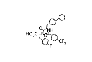 O=C(NC(Cc1ccc(F)cc1)C(=O)O)C(=Cc1ccc(-c2ccccc2)cc1)NC(=O)c1ccc(C(F)(F)F)cc1